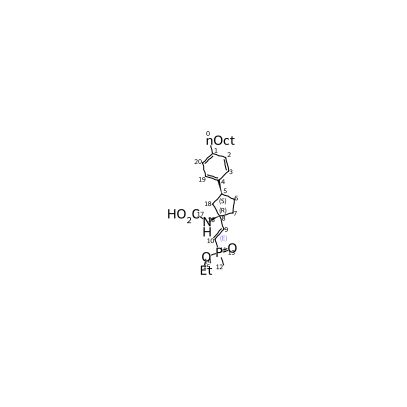 CCCCCCCCc1ccc([C@H]2CC[C@@](/C=C/P(C)(=O)OCC)(NC(=O)O)C2)cc1